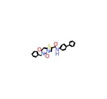 O=C(Nc1ccc(-c2ccccc2)cc1)c1cn2c(=O)n(Cc3ccccc3)c(=O)cc2s1